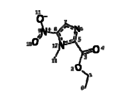 CCOC(=O)c1ncc([N+](=O)[O-])n1C